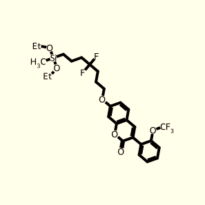 CCO[Si](C)(CCCC(F)(F)CCCOc1ccc2cc(-c3ccccc3OC(F)(F)F)c(=O)oc2c1)OCC